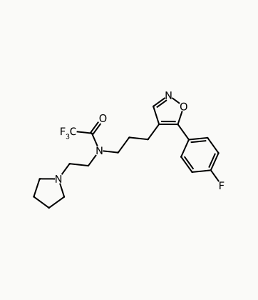 O=C(N(CCCc1cnoc1-c1ccc(F)cc1)CCN1CCCC1)C(F)(F)F